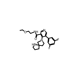 CCOCCNC(=O)c1cncc(-c2cc(F)cc(F)c2)c1N1CCC2(CCCN2)C1